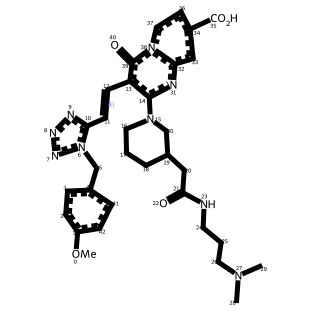 COc1ccc(Cn2nnnc2/C=C/c2c(N3CCCC(CC(=O)NCCCN(C)C)C3)nc3cc(C(=O)O)ccn3c2=O)cc1